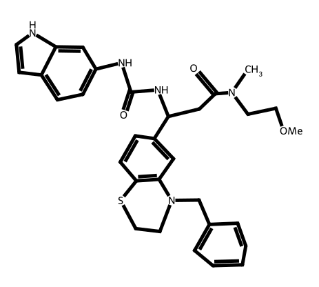 COCCN(C)C(=O)CC(NC(=O)Nc1ccc2cc[nH]c2c1)c1ccc2c(c1)N(Cc1ccccc1)CCS2